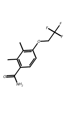 Cc1c(OCC(F)(F)F)ccc(C(N)=O)c1C